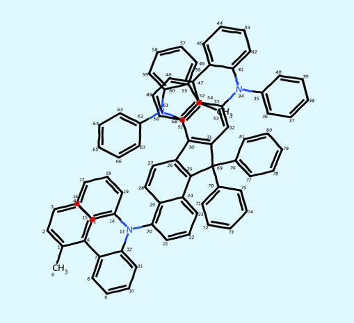 Cc1ccccc1-c1ccccc1N(c1ccccc1)c1cccc2c3c(ccc12)-c1c(cc(N(c2ccccc2)c2ccccc2-c2ccccc2C)c2c4ccccc4n(-c4ccccc4)c12)C3(c1ccccc1)c1ccccc1